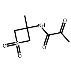 CC(=O)C(=O)NC1(C)CS(=O)(=O)C1